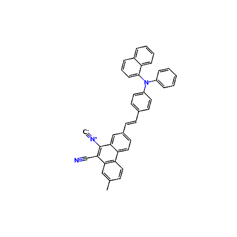 [C-]#[N+]c1c(C#N)c2cc(C)ccc2c2ccc(C=Cc3ccc(N(c4ccccc4)c4cccc5ccccc45)cc3)cc12